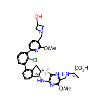 COc1nc(-c2cccc(-c3cccc4c3CC[C@@H]4Nc3nc(OC)c(CN[C@@H](C)C(=O)O)nc3C(F)(F)F)c2Cl)ccc1CN1CC(O)C1